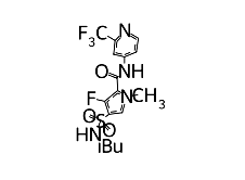 CC[C@@H](C)NS(=O)(=O)c1cn(C)c(C(=O)Nc2ccnc(C(F)(F)F)c2)c1F